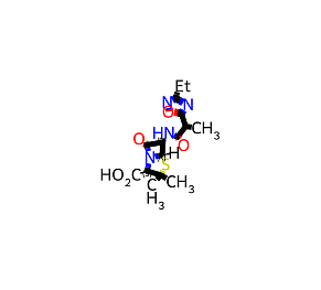 CCc1noc(C(C)C(=O)N[C@@H]2C(=O)N3[C@@H]2SC(C)(C)[C@@H]3C(=O)O)n1